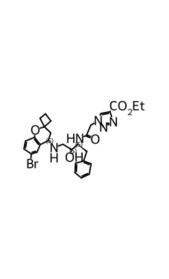 CCOC(=O)c1cn(CC(=O)N[C@@H](Cc2ccccc2)[C@@H](O)CN[C@H]2CC3(CCC3)Oc3ccc(Br)cc32)nn1